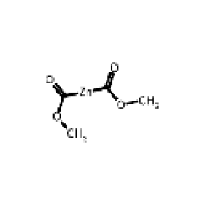 CO[C](=O)[Zn][C](=O)OC